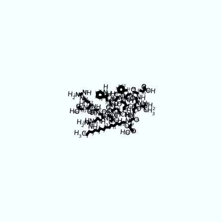 CCCCCCCCCCCCCCCC(=O)N[C@@H](CCC(=O)O)C(=O)NCCCC[C@H](NC(=O)[C@H](C)N)C(=O)N[C@@H](CCC(=O)O)C(=O)N[C@@H](Cc1ccccc1)C(=O)N[C@H](C(=O)N[C@@H](C)C(=O)N[C@@H](Cc1c[nH]c2ccccc12)C(=O)N[C@@H](CC(C)C)C(=O)N[C@H](C(=O)N[C@@H](CCCNC(=N)N)C(=O)NCC(=O)N[C@@H](CCCNC(=N)N)C(=O)NCC(=O)O)C(C)C)[C@@H](C)CC